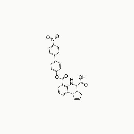 O=C(Oc1ccc(-c2ccc([N+](=O)[O-])cc2)cc1)c1cccc2c1NC(C(=O)O)C1CC=CC21